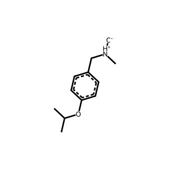 [CH2-][NH+](C)Cc1ccc(OC(C)C)cc1